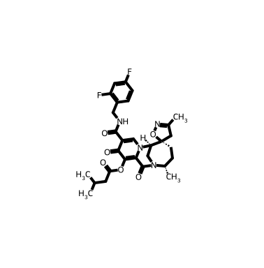 CC1=NO[C@@]2(CC[C@H](C)N3C[C@H]2n2cc(C(=O)NCc4ccc(F)cc4F)c(=O)c(OC(=O)CC(C)C)c2C3=O)C1